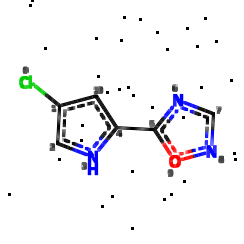 Clc1c[nH]c(-c2ncno2)c1